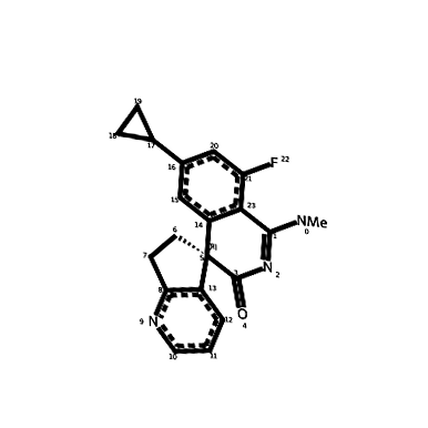 CNC1=NC(=O)[C@]2(CCc3ncccc32)c2cc(C3CC3)cc(F)c21